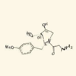 COc1ccc(C[C@@H]2[C@H](O)[C@@H](O)CN2C(=O)CN)cc1